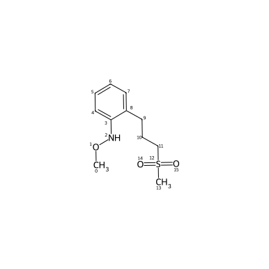 CONc1ccccc1CCCS(C)(=O)=O